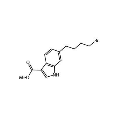 COC(=O)c1c[nH]c2cc(CCCCBr)ccc12